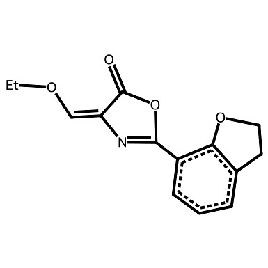 CCOC=C1N=C(c2cccc3c2OCC3)OC1=O